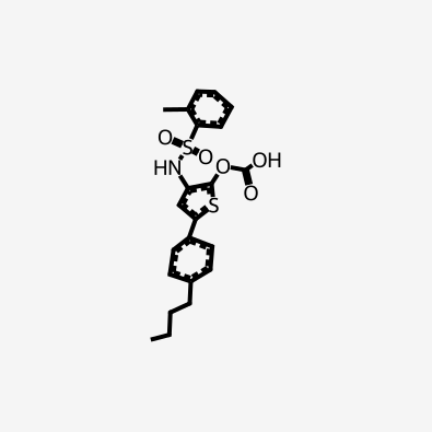 CCCCc1ccc(-c2cc(NS(=O)(=O)c3ccccc3C)c(OC(=O)O)s2)cc1